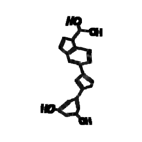 Oc1cc(O)cc(C2=CC(c3ccc4c(c3)C=CC4C(O)O)=CC2)c1